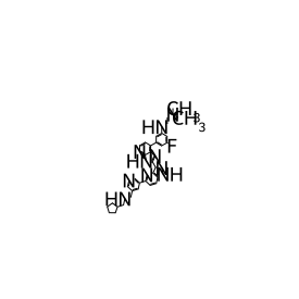 CN(C)CCNc1cc(F)cc(-c2ccnc3[nH]c(-c4n[nH]c5ccc(-c6cncc(CNCC7CCCC7)c6)nc45)nc23)c1